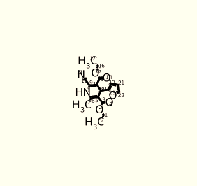 CCOC(=O)C1=C(C)NC(C#N)=C(C(=O)OCC)C1c1ccco1